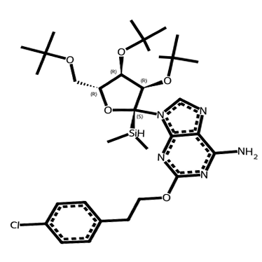 C[SiH](C)[C@@]1(n2cnc3c(N)nc(OCCc4ccc(Cl)cc4)nc32)O[C@H](COC(C)(C)C)[C@@H](OC(C)(C)C)[C@H]1OC(C)(C)C